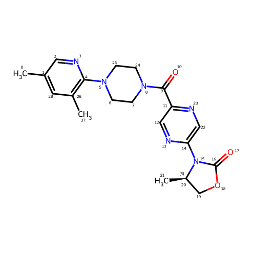 Cc1cnc(N2CCN(C(=O)c3cnc(N4C(=O)OC[C@H]4C)cn3)CC2)c(C)c1